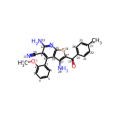 COc1ccccc1-c1c(C#N)c(N)nc2sc(C(=O)c3ccc(C)cc3)c(N)c12